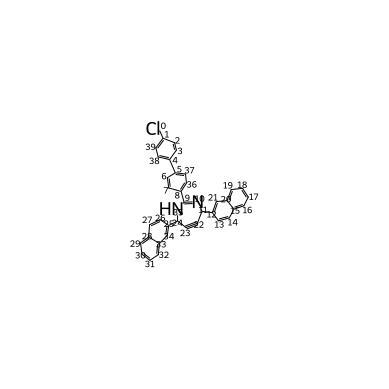 Clc1ccc(-c2ccc(C3=NC(c4ccc5ccccc5c4)C#CC(c4ccc5ccccc5c4)N3)cc2)cc1